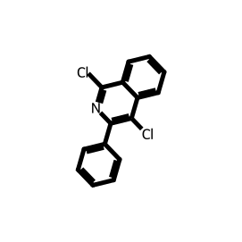 Clc1nc(-c2ccccc2)c(Cl)c2ccccc12